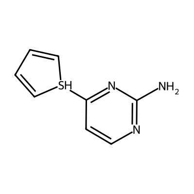 Nc1nccc([SH]2C=CC=C2)n1